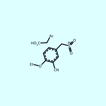 CC(=O)CC(=O)O.CCOc1ccc(C[SH](=O)=O)cc1C#N